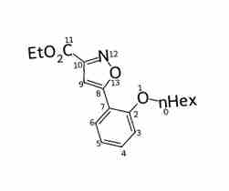 CCCCCCOc1ccccc1-c1cc(C(=O)OCC)no1